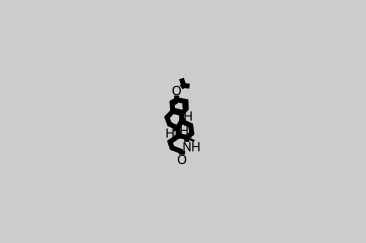 CC(C)Oc1ccc2c(c1)CC[C@@H]1[C@@H]2CC[C@]2(C)NC(=O)CC[C@@H]12